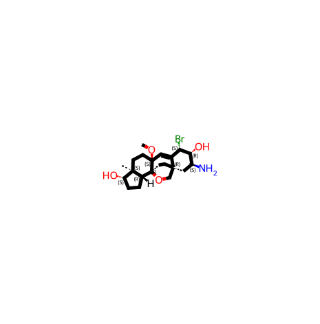 CO[C@@]12C=C3[C@H](Br)[C@H](O)[C@@H](N)C[C@]34CC[C@]1(OC4)[C@@H]1CC[C@H](O)[C@@]1(C)CC2